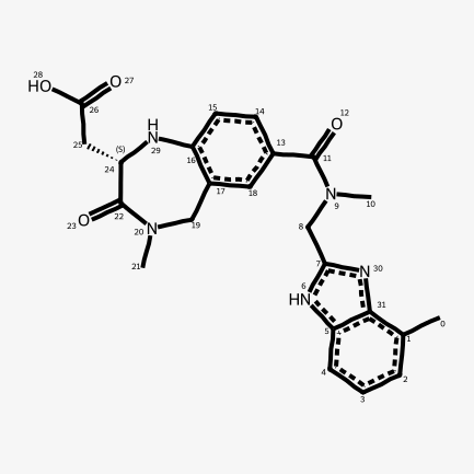 Cc1cccc2[nH]c(CN(C)C(=O)c3ccc4c(c3)CN(C)C(=O)[C@H](CC(=O)O)N4)nc12